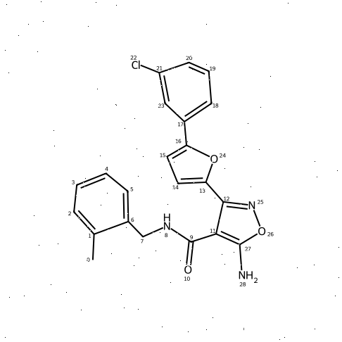 Cc1ccccc1CNC(=O)c1c(-c2ccc(-c3cccc(Cl)c3)o2)noc1N